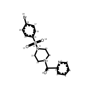 O=C(c1ccccn1)N1CCN(S(=O)(=O)c2ccc(Br)cc2)CC1